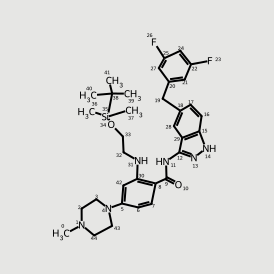 CN1CCN(c2ccc(C(=O)Nc3n[nH]c4ccc(Cc5cc(F)cc(F)c5)cc34)c(NCCO[Si](C)(C)C(C)(C)C)c2)CC1